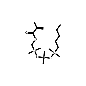 C=C(C)C(=O)OC[Si](C)(C)O[Si](C)(C)O[Si](C)(C)CCCCC